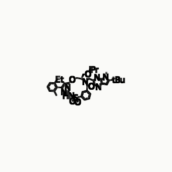 CCc1c2nc(nc1-c1c(C)cccc1C)NS(=O)(=O)c1cccc(c1)C(=O)N(Cc1cnc3cc(C(C)(C)C)n(C)c3n1)[C@H](COC(C)C)CO2